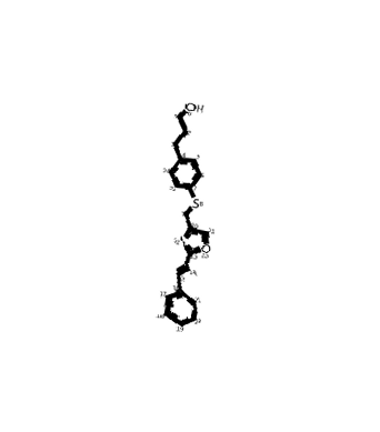 OCCCc1ccc(SCc2coc(C=Cc3ccccc3)n2)cc1